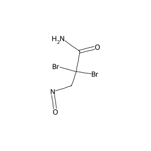 NC(=O)C(Br)(Br)CN=O